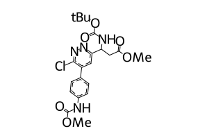 COC(=O)CC(NC(=O)OC(C)(C)C)c1cc(-c2ccc(NC(=O)OC)cc2)c(Cl)nn1